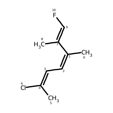 CC(=C/C=C(\C)Cl)/C(C)=C/F